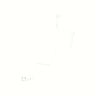 COCCc1ccc(Br)s1